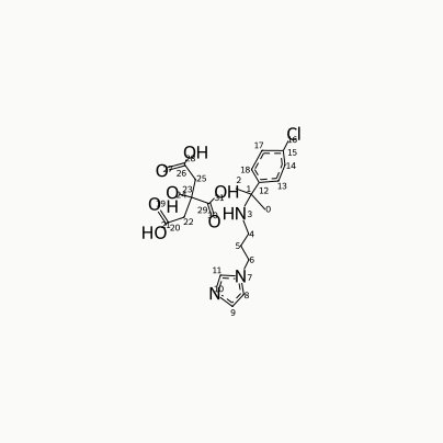 CC(C)(NCCCn1ccnc1)c1ccc(Cl)cc1.O=C(O)CC(O)(CC(=O)O)C(=O)O